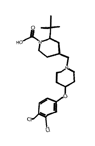 CC(C)(C)C1CC(CN2CCC(Oc3ccc(Cl)c(Cl)c3)CC2)CCN1C(=O)O